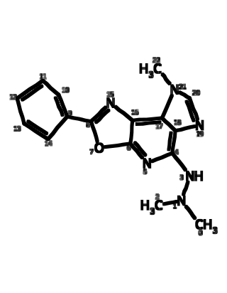 CN(C)Nc1nc2oc(-c3ccccc3)nc2c2c1ncn2C